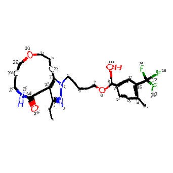 CCc1nn(CCCOC(O)c2ccc(C)c(C(F)(F)F)c2)c2c1C(=O)NCCCOCCC2